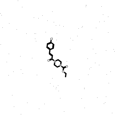 CCOC(=O)N1CCN(C(=O)C=Cc2ccc(Cl)cc2)CC1